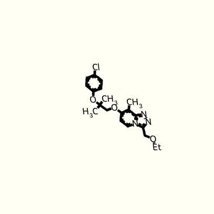 CCOCc1nnc2c(C)c(OCC(C)(C)Oc3ccc(Cl)cc3)ccn12